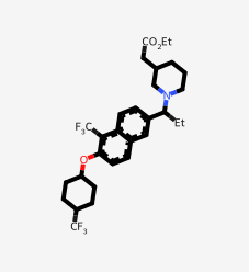 CCOC(=O)CC1CCCN(C(CC)c2ccc3c(C(F)(F)F)c(OC4CCC(C(F)(F)F)CC4)ccc3c2)C1